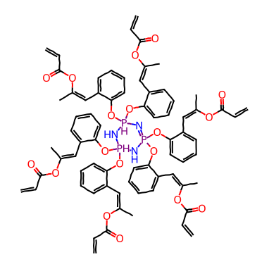 C=CC(=O)OC(C)=Cc1ccccc1OP1(Oc2ccccc2C=C(C)OC(=O)C=C)=N[PH](Oc2ccccc2C=C(C)OC(=O)C=C)(Oc2ccccc2C=C(C)OC(=O)C=C)N[PH](Oc2ccccc2C=C(C)OC(=O)C=C)(Oc2ccccc2C=C(C)OC(=O)C=C)N1